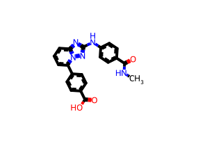 CNC(=O)c1ccc(Nc2nc3cccc(-c4ccc(C(=O)O)cc4)n3n2)cc1